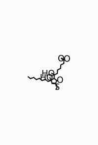 CCCCCCCCC1(O)C=C(SC)C(=O)C1C(O)CCCCCC(=O)OC